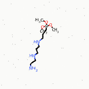 CO[Si](CCCNCCCNCCN)(OC)OC